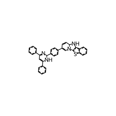 C1=CC2Nc3c(sc4ccccc34)N2C=C1c1ccc(C2N=C(c3ccccc3)C=C(c3ccccc3)N2)cc1